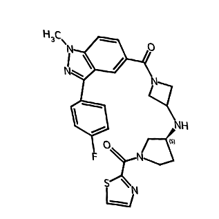 Cn1nc(-c2ccc(F)cc2)c2cc(C(=O)N3CC(N[C@H]4CCN(C(=O)c5nccs5)C4)C3)ccc21